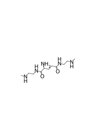 CNCCNC(=O)CC[C@H](N)C(=O)NCCNC